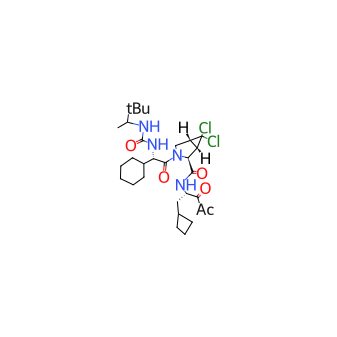 CC(=O)C(=O)[C@H](CC1CCC1)NC(=O)[C@@H]1[C@@H]2[C@H](CN1C(=O)[C@@H](NC(=O)NC(C)C(C)(C)C)C1CCCCC1)C2(Cl)Cl